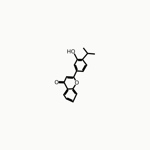 CC(C)c1ccc(-c2cc(=O)c3ccccc3o2)cc1O